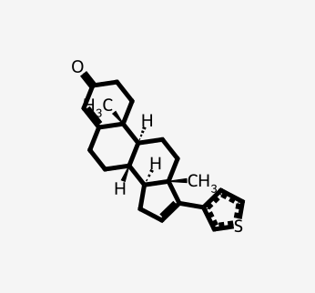 C[C@]12CCC(=O)C=C1CC[C@@H]1[C@@H]2CC[C@]2(C)C(c3ccsc3)=CC[C@@H]12